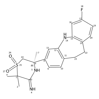 CC1(C)C(=N)N[C@](C)(c2ccc3c(c2)Nc2cc(F)ccc2CC3)CS1(=O)=O